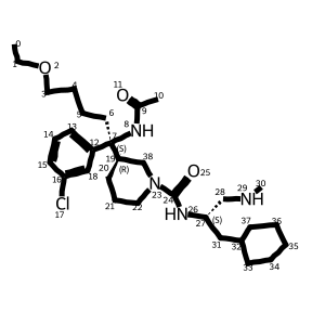 CCOCCCC[C@@](NC(C)=O)(c1cccc(Cl)c1)[C@@H]1CCCN(C(=O)N[C@H](CNC)CC2CCCCC2)C1